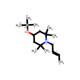 C/C=C/CN1C(C)(C)CC(O[Si](C)(C)C)CC1(C)C